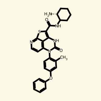 Cc1cc(Oc2ccccc2)ccc1N1C(=O)Nc2c(C(=O)NC3CCCC[C@H]3N)sc3nccc1c23